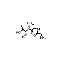 NCC(=O)N[C@@H](CO)C(=O)N[C@@H](CS)C(=O)O